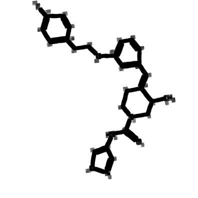 CC1CN(C(=O)Nc2cnoc2)CC/C1=C\c1cccc(OCCc2ccc(F)cc2)c1